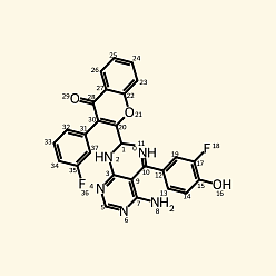 CC(Nc1ncnc(N)c1C(=N)c1ccc(O)c(F)c1)c1oc2ccccc2c(=O)c1-c1cccc(F)c1